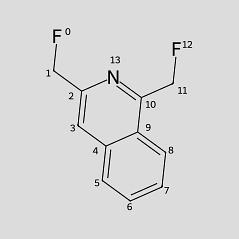 FCc1cc2ccccc2c(CF)n1